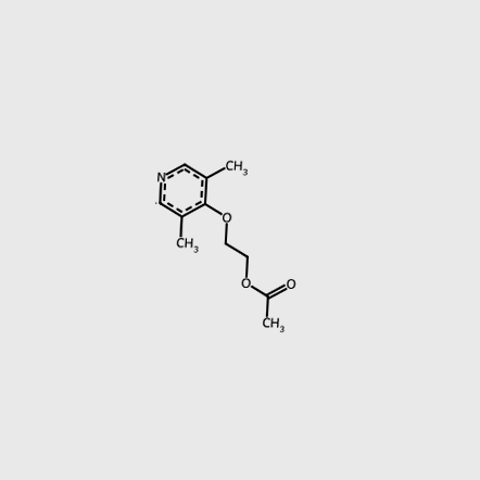 CC(=O)OCCOc1c(C)[c]ncc1C